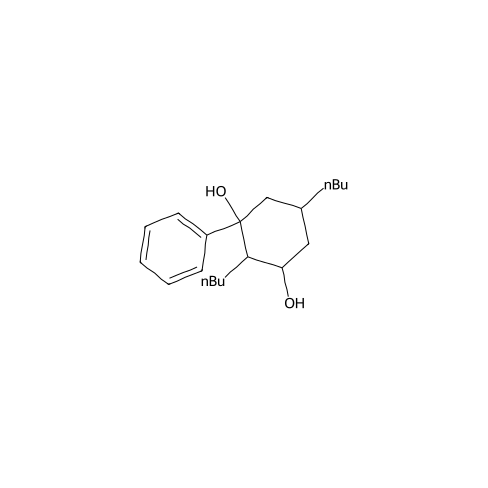 CCCCC1CC(O)C(CCCC)C(O)(c2ccccc2)C1